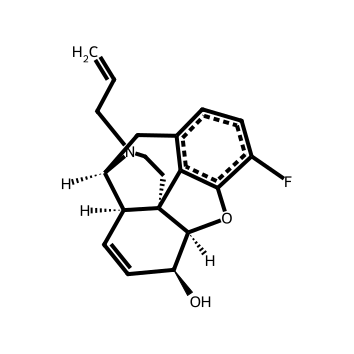 C=CCN1CC[C@]23c4c5ccc(F)c4O[C@H]2[C@@H](O)C=C[C@H]3[C@H]1C5